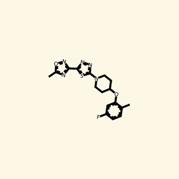 Cc1nc(-c2nnc(N3CCC(Oc4cc(F)ccc4C)CC3)s2)no1